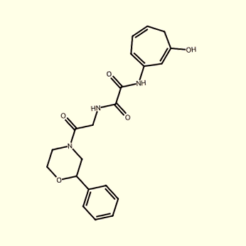 O=C(NCC(=O)N1CCOC(c2ccccc2)C1)C(=O)NC1=CC=CCC(O)=C1